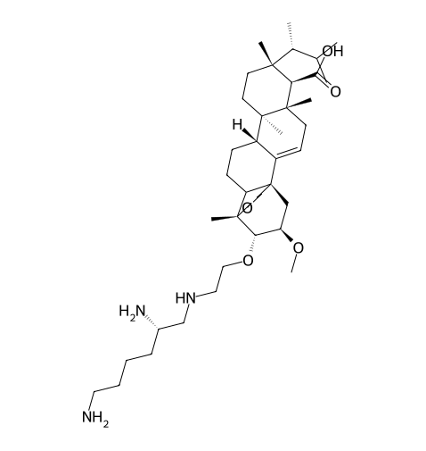 CO[C@@H]1C[C@@]23CCOC[C@@](C)(C2CC[C@H]2C3=CC[C@@]3(C)[C@H](C(=O)O)[C@@](C)([C@H](C)C(C)C)CC[C@]23C)[C@H]1OCCNC[C@@H](N)CCCCN